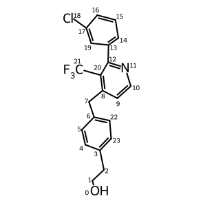 OCCc1ccc(Cc2ccnc(-c3cccc(Cl)c3)c2C(F)(F)F)cc1